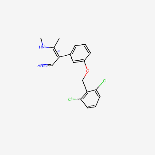 CN/C(C)=C(\C=N)c1cccc(OCc2c(Cl)cccc2Cl)c1